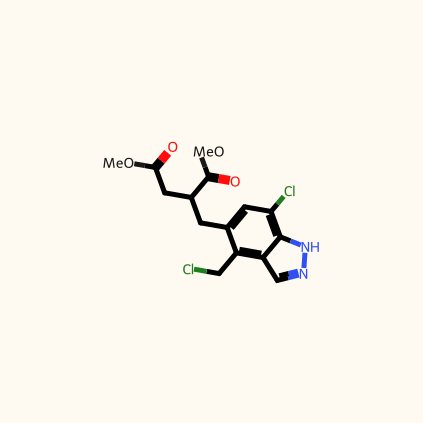 COC(=O)CC(Cc1cc(Cl)c2[nH]ncc2c1CCl)C(=O)OC